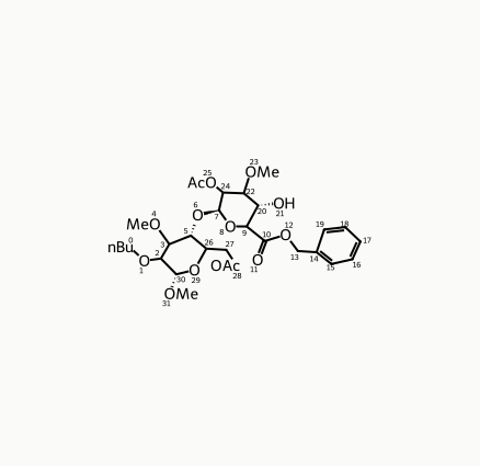 CCCCOC1C(OC)[C@H](O[C@@H]2OC(C(=O)OCc3ccccc3)[C@@H](O)C(OC)C2OC(C)=O)C(COC(C)=O)O[C@@H]1OC